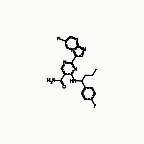 CCCC(Nc1nc(-c2cnc3ccc(F)cn23)ncc1C(N)=O)c1ccc(F)cc1